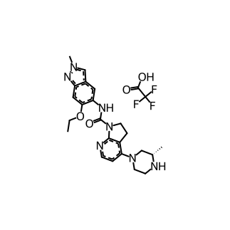 CCOc1cc2nn(C)cc2cc1NC(=O)N1CCc2c(N3CCN[C@@H](C)C3)ccnc21.O=C(O)C(F)(F)F